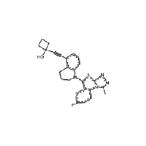 Cc1nnc2nc(N3CCCc4c(C#CC5(O)CCC5)cccc43)c3cc(F)ccc3n12